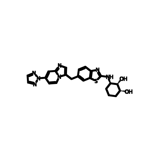 O[C@@H]1[C@H](O)CCC[C@H]1Nc1nc2ccc(Cc3cnc4cc(-n5nccn5)ccn34)cc2s1